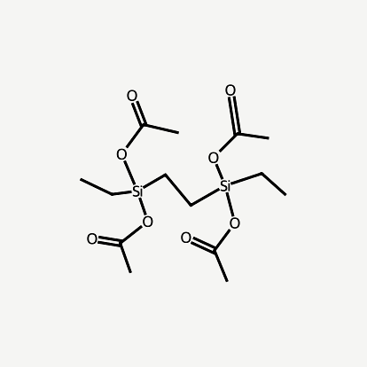 CC[Si](CC[Si](CC)(OC(C)=O)OC(C)=O)(OC(C)=O)OC(C)=O